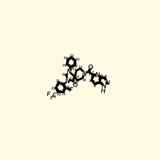 O=C(c1ccc2[nH]ncc2n1)N1CCC2(CC1)C(=O)N(c1ccc(C(F)(F)F)cc1F)CN2c1ccccc1